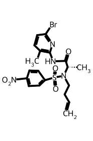 C=CCCN([C@@H](C)C(=O)Nc1nc(Br)ccc1C)S(=O)(=O)c1ccc([N+](=O)[O-])cc1